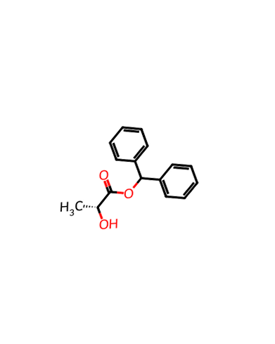 C[C@@H](O)C(=O)OC(c1ccccc1)c1ccccc1